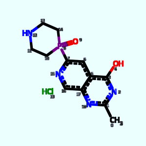 Cc1nc(O)c2cc(P3(=O)CCNCC3)ncc2n1.Cl